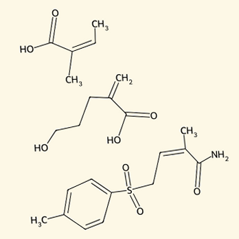 C=C(CCCO)C(=O)O.CC(=CCS(=O)(=O)c1ccc(C)cc1)C(N)=O.CC=C(C)C(=O)O